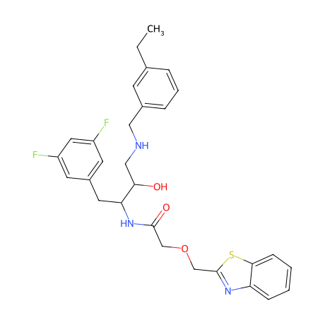 CCc1cccc(CNCC(O)C(Cc2cc(F)cc(F)c2)NC(=O)COCc2nc3ccccc3s2)c1